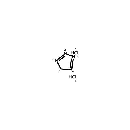 C1=NN=NC1.Cl.Cl